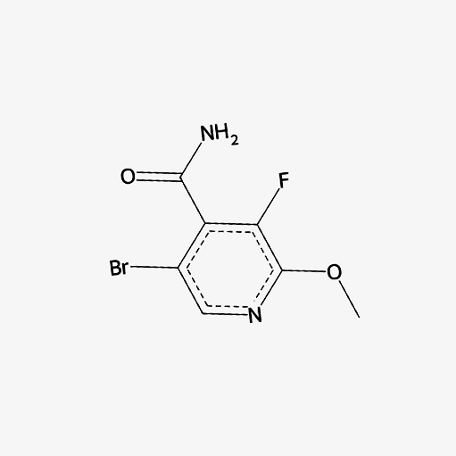 COc1ncc(Br)c(C(N)=O)c1F